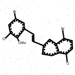 COc1c(Cl)cc(Br)cc1C=Cc1ccc2c(Cl)ccc(Br)c2c1